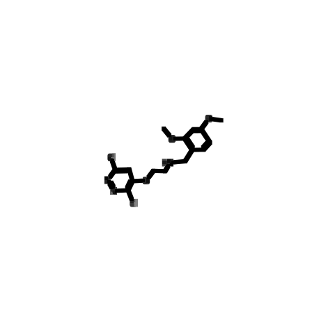 COc1ccc(CNCCOc2cc(Cl)nnc2Cl)c(OC)c1